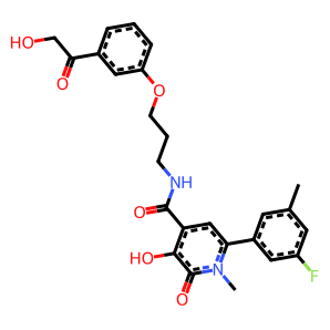 Cc1cc(F)cc(-c2cc(C(=O)NCCCOc3cccc(C(=O)CO)c3)c(O)c(=O)n2C)c1